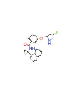 Cc1ccc(OCC2CC(F)CN2)cc1C(=O)NC1(c2cccc3ccccc23)CC1